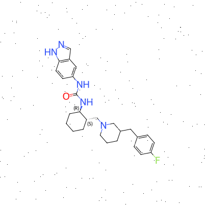 O=C(Nc1ccc2[nH]ncc2c1)N[C@@H]1CCCC[C@H]1CN1CCCC(Cc2ccc(F)cc2)C1